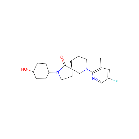 Cc1cc(F)cnc1N1CCC[C@]2(CCN(C3CCC(O)CC3)C2=O)C1